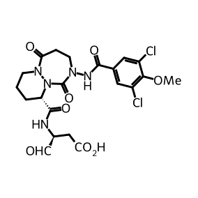 COc1c(Cl)cc(C(=O)NN2CCC(=O)N3CCC[C@@H](C(=O)N[C@H](C=O)CC(=O)O)N3C2=O)cc1Cl